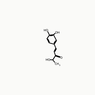 CC(O)C(=O)C=Cc1ccc(O)c(O)c1